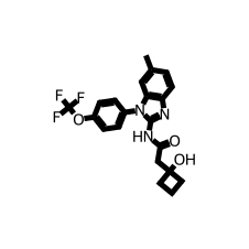 Cc1ccc2nc(NC(=O)CC3(O)CCC3)n(-c3ccc(OC(F)(F)F)cc3)c2c1